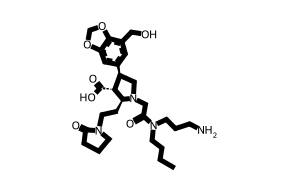 CCCCN(CCCN)C(=O)CN1C[C@H](c2cc(CO)c3c(c2)OCO3)[C@@H](C(=O)O)[C@@H]1CCN1CCCC1=O